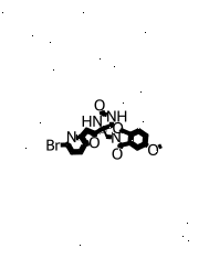 COc1ccc2c(c1)C(=O)N(C[C@@]1(c3cc4nc(Br)ccc4o3)NC(=O)NC1=O)C2